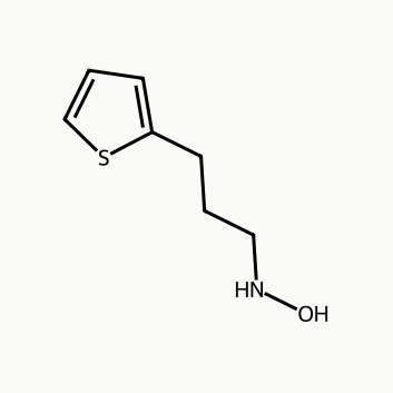 ONCCCc1cccs1